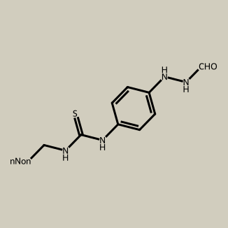 CCCCCCCCCCNC(=S)Nc1ccc(NNC=O)cc1